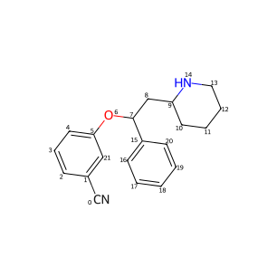 N#Cc1cccc(OC(CC2CCCCN2)c2ccccc2)c1